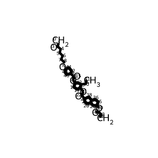 C=CC(=O)CCCCCOc1ccc(C(=O)Oc2ccc(OC(=O)c3ccc4cc(OC(=O)C=C)ccc4c3)c(CC)c2)cc1